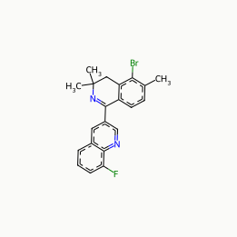 Cc1ccc2c(c1Br)CC(C)(C)N=C2c1cnc2c(F)cccc2c1